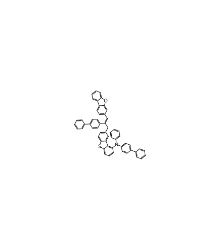 C(=C(\Cc1ccc2sc3cccc(N(c4ccccc4)c4ccc(-c5ccccc5)cc4)c3c2c1)c1ccc(-c2ccccc2)cc1)/c1ccc2c(c1)oc1ccccc12